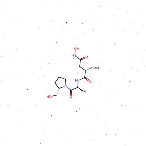 CCCCC[C@@H](CC(=O)NO)C(=O)N[C@H](C(=O)N1CCC[C@H]1CO)C(C)C